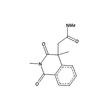 CNC(=O)CC1(C)C(=O)N(C)C(=O)c2ccccc21